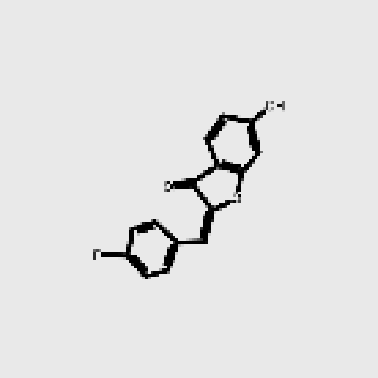 O=C1C(=Cc2ccc(F)cc2)Oc2cc(O)ccc21